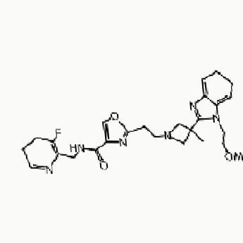 COCCn1c(C2(C)CN(CCc3nc(C(=O)NCC4=C(F)CCC=N4)co3)C2)nc2c1=CCCC=2